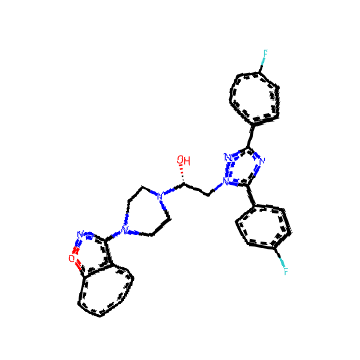 O[C@H](Cn1nc(-c2ccc(F)cc2)nc1-c1ccc(F)cc1)N1CCN(c2noc3ccccc23)CC1